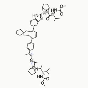 COC(=O)N[C@@H](C(C)C)C(C)N1C2CCC(C2)[C@H]1/C(C)=N/C=C(\C)c1ccc(-c2ccc(-c3ccc4[nH]c([C@@H]5C6CCC(C6)N5C(=O)[C@@H](NC(=O)OC)C(C)C)nc4c3)c3c2CC2(CCCC2)C3)cc1